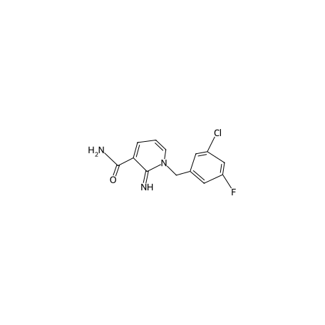 N=c1c(C(N)=O)cccn1Cc1cc(F)cc(Cl)c1